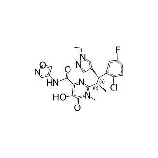 CCn1cc([C@@H](c2cc(F)ccc2Cl)[C@@H](C)c2nc(C(=O)Nc3cnoc3)c(O)c(=O)n2C)cn1